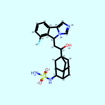 NS(=O)(=O)NC1C2CC3CC1CC(C(O)CC1c4c(F)cccc4-c4cncn41)(C3)C2